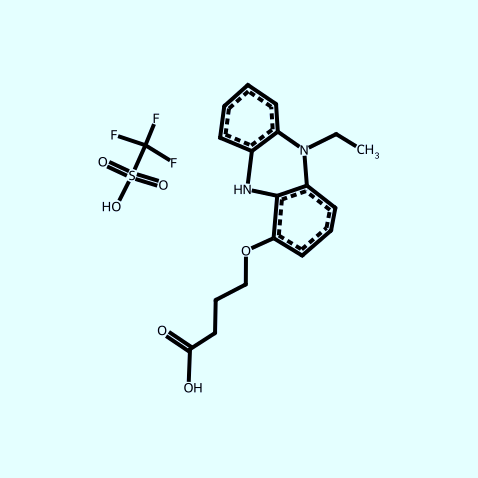 CCN1c2ccccc2Nc2c(OCCCC(=O)O)cccc21.O=S(=O)(O)C(F)(F)F